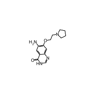 Nc1cc2c(=O)[nH]cnc2cc1OCCN1CCCC1